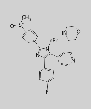 C1COCCN1.CCCn1c(-c2ccc([S+](C)[O-])cc2)nc(-c2ccc(F)cc2)c1-c1ccncc1